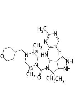 Cc1ncc(F)c(NC2C3CNNC3C(C)(C)N2C(=O)N2C[C@@H](C)N(CC3CCOCC3)C[C@@H]2C)n1